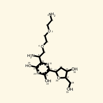 NCCOCCOCC(N)c1nc(C2CC(O)C(CO)O2)c(O)nc1O